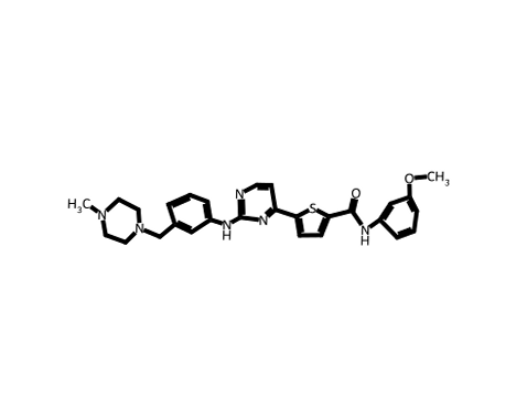 COc1cccc(NC(=O)c2ccc(-c3ccnc(Nc4cccc(CN5CCN(C)CC5)c4)n3)s2)c1